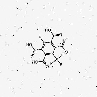 O=C(O)c1c(F)c(C(=O)O)c(C(=O)O)c(C(F)(F)F)c1C(=O)O